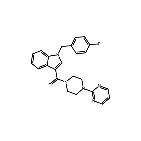 O=C(c1cn(Cc2ccc(F)cc2)c2ccccc12)N1CCN(c2ncccn2)CC1